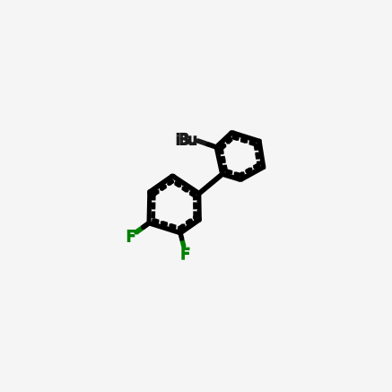 CCC(C)c1ccccc1-c1ccc(F)c(F)c1